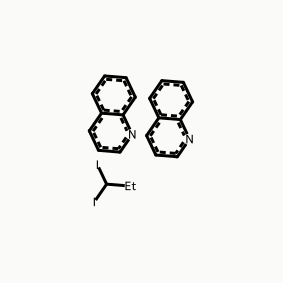 CCC(I)I.c1ccc2ncccc2c1.c1ccc2ncccc2c1